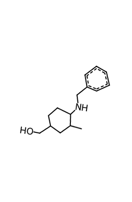 CC1CC(CO)CCC1NCc1ccccc1